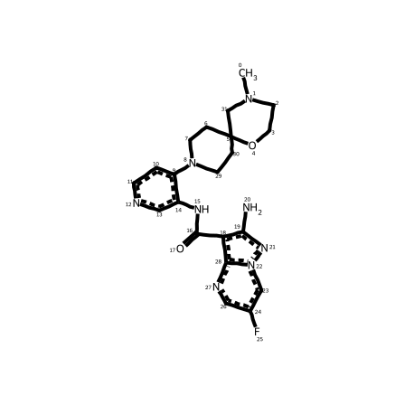 CN1CCOC2(CCN(c3ccncc3NC(=O)c3c(N)nn4cc(F)cnc34)CC2)C1